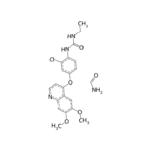 CCNC(=O)Nc1ccc(Oc2ccnc3cc(OC)c(OC)cc23)cc1Cl.NC=O